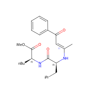 CCCC[C@H](NC(=O)[C@H](CC(C)C)N/C(C)=C/C(=O)c1ccccc1)C(=O)OC